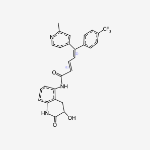 Cc1cc(/C(=C\C=C\C(=O)Nc2cccc3c2CC(O)C(=O)N3)c2ccc(C(F)(F)F)cc2)ccn1